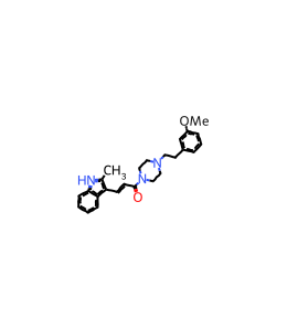 COc1cccc(CCN2CCN(C(=O)C=Cc3c(C)[nH]c4ccccc34)CC2)c1